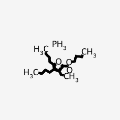 CCCCOC(=O)c1oc(CCCC)c(CCCC)c1CC.P